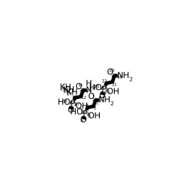 NC(=O)CCP(=O)(O)O.NC(=O)CCP(=O)(O)O.NC(=O)CCP(=O)(O)O.[KH].[KH].[KH]